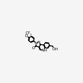 O=c1c2c[nH]c3cc(CO)ccc3c-2nn1-c1ccc(OC(F)(F)F)cc1